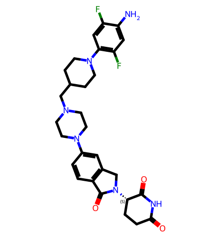 Nc1cc(F)c(N2CCC(CN3CCN(c4ccc5c(c4)CN([C@H]4CCC(=O)NC4=O)C5=O)CC3)CC2)cc1F